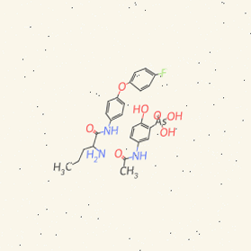 CC(=O)Nc1ccc(O)c([As](=O)(O)O)c1.CCCC(N)C(=O)Nc1ccc(Oc2ccc(F)cc2)cc1